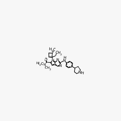 CCC1(n2c(C(=O)N(C)C)cc3cnc(Nc4ccc(C5CCNCC5)cc4)nc32)CC[C@H]1C